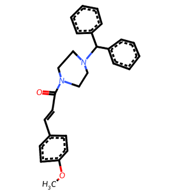 COc1ccc(C=CC(=O)N2CCN(C(c3ccccc3)c3ccccc3)CC2)cc1